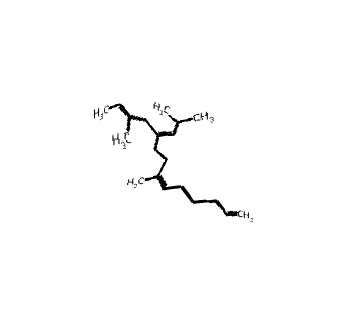 C=CCCCC=C(C)CCC(=CC(C)C)CC(C)=CC